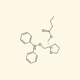 CCCC(=O)OC[C@]1(CO[SiH](c2ccccc2)c2ccccc2)CCCO1